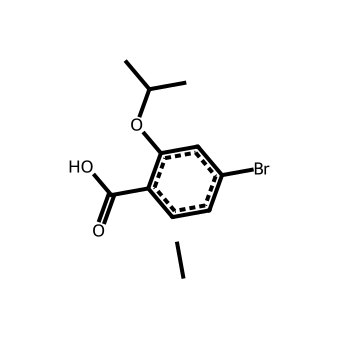 CC.CC(C)Oc1cc(Br)ccc1C(=O)O